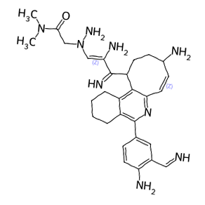 CN(C)C(=O)CN(N)/C=C(\N)C(=N)C1CCC(N)/C=C\c2nc(-c3ccc(N)c(C=N)c3)c3c(c21)CCCC3